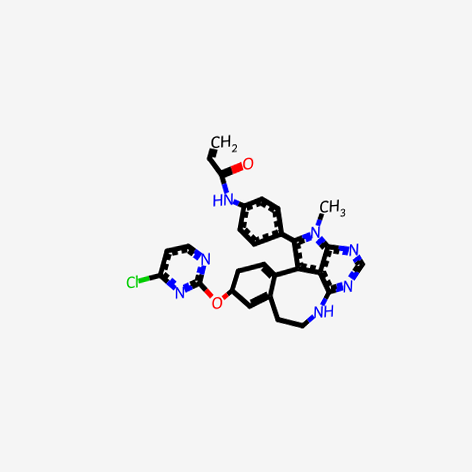 C=CC(=O)Nc1ccc(-c2c3c4c(ncnc4n2C)NCCC2=CC(Oc4nccc(Cl)n4)CC=C23)cc1